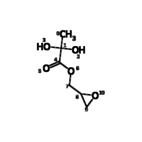 CC(O)(O)C(=O)OCC1CO1